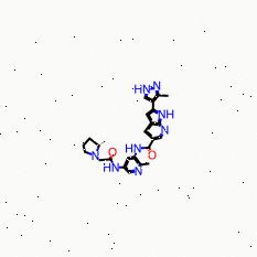 Cc1ncc(NC(=O)CN2CCC[C@@H]2C)cc1NC(=O)c1cnc2[nH]c(-c3c[nH]nc3C)cc2c1